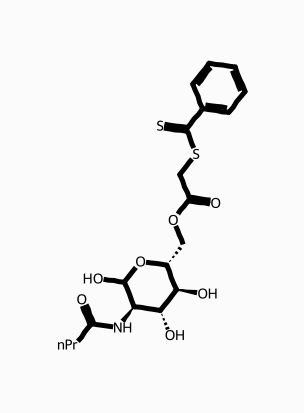 CCCC(=O)N[C@H]1C(O)O[C@H](COC(=O)CSC(=S)c2ccccc2)[C@@H](O)[C@@H]1O